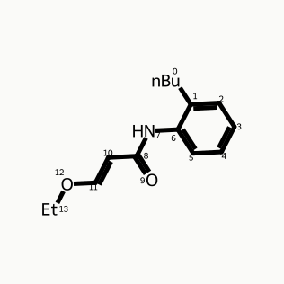 CCCCc1ccccc1NC(=O)C=COCC